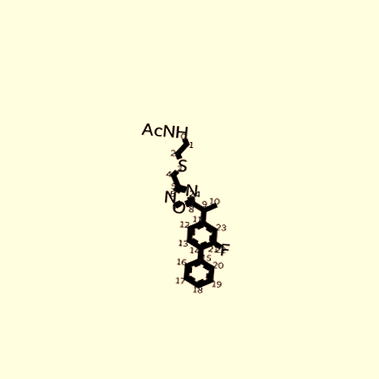 CC(=O)NCCSCc1noc(C(C)c2ccc(-c3ccccc3)c(F)c2)n1